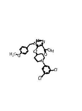 COc1ccc(Cn2nnc(C(=O)O)c2OC2CCN(c3cc(Cl)cc(Cl)c3)CC2)cc1